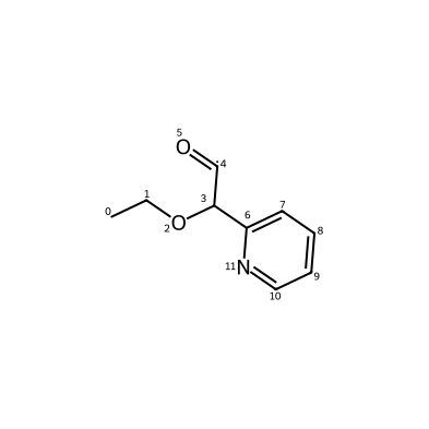 CCOC([C]=O)c1ccccn1